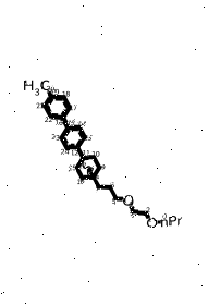 [CH2+][CH-]COCCOCCCC12CCC(c3ccc(-c4ccc(C)cc4)cc3)(CC1)CC2